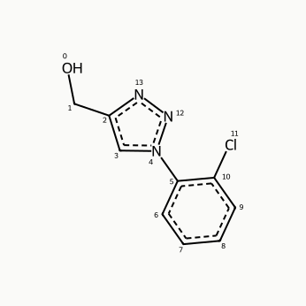 OCc1cn(-c2ccccc2Cl)nn1